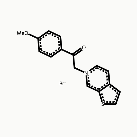 COc1ccc(C(=O)C[n+]2ccc3ccsc3c2)cc1.[Br-]